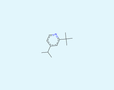 CC(C)c1c[c]nc(C(C)(C)C)c1